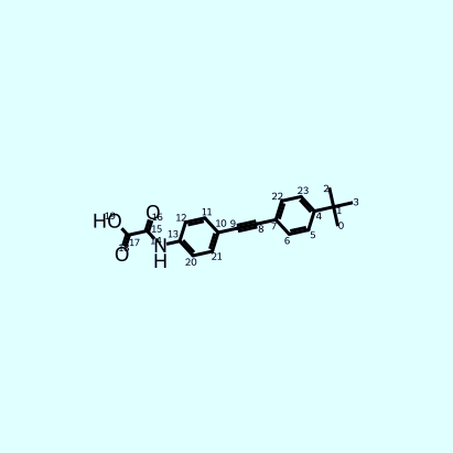 CC(C)(C)c1ccc(C#Cc2ccc(NC(=O)C(=O)O)cc2)cc1